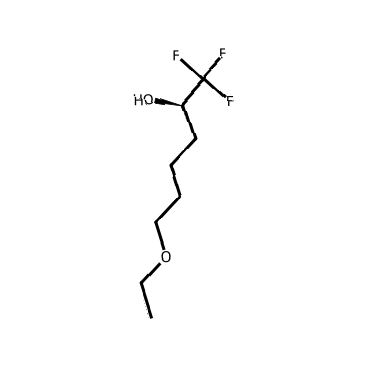 CCOCCCC[C@@H](O)C(F)(F)F